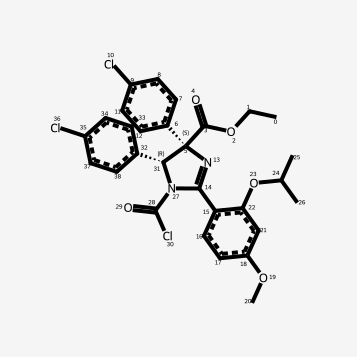 CCOC(=O)[C@@]1(c2ccc(Cl)cc2)N=C(c2ccc(OC)cc2OC(C)C)N(C(=O)Cl)[C@@H]1c1ccc(Cl)cc1